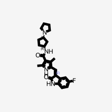 Cc1[nH]c(/C=C2\C(=O)Nc3ccc(F)cc32)c(C)c1C(=O)N[C@@H]1CC[C@H](N2CCCC2)C1